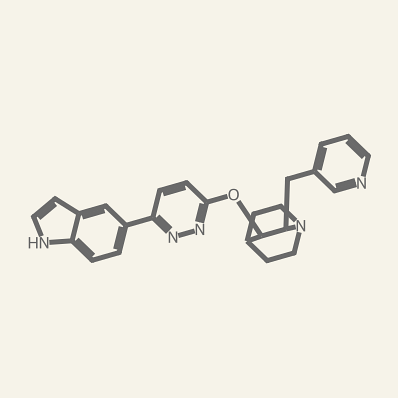 c1cncc(CC2C(Oc3ccc(-c4ccc5[nH]ccc5c4)nn3)C3CCN2CC3)c1